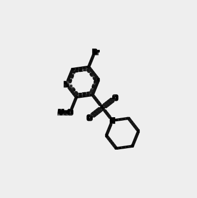 COc1ncc(Br)cc1S(=O)(=O)N1CCCCC1